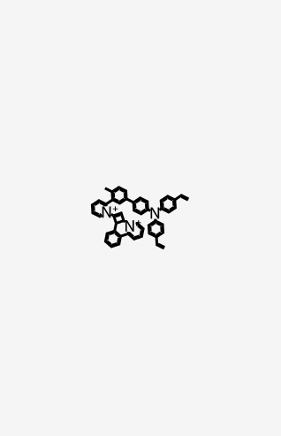 C=Cc1ccc(N(c2ccc(C=C)cc2)c2ccc(-c3ccc(C)c(-c4cccc[n+]4C4=CC5C4c4ccccc4-c4cccc[n+]45)c3)cc2)cc1